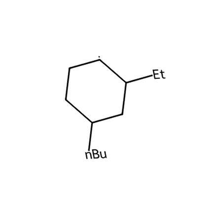 CCCCC1CC[CH]C(CC)C1